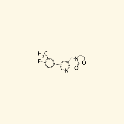 Cc1cc(-c2cncc(CN3CCOC3=O)c2)ccc1F